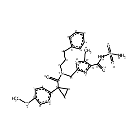 COc1ccc(C2(C(=O)N(CCCc3ccccc3)Cc3nc(C(=O)NS(N)(=O)=O)c(C)s3)CC2)nc1